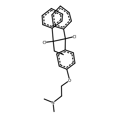 CCC(Cl)(c1ccccc1)C(Cl)(c1ccccc1)c1ccc(OCCN(C)C)cc1